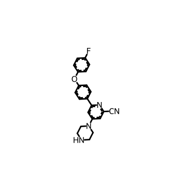 N#Cc1cc(N2CCNCC2)cc(-c2ccc(Oc3ccc(F)cc3)cc2)n1